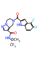 C[C@@H](NC(=O)c1cnn2c1CN(C(=O)c1cc3c(F)c(F)ccc3[nH]1)CC2)C(F)(F)F